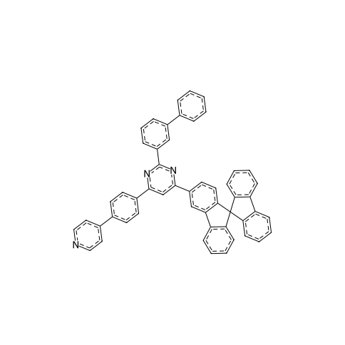 c1ccc(-c2cccc(-c3nc(-c4ccc(-c5ccncc5)cc4)cc(-c4ccc5c(c4)-c4ccccc4C54c5ccccc5-c5ccccc54)n3)c2)cc1